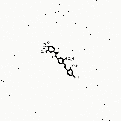 CS(=O)(=O)c1ccc(C(=O)Nc2ccc(C=Cc3ccc(N)cc3S(=O)(=O)O)c(S(=O)(=O)O)c2)cc1[N+](=O)[O-]